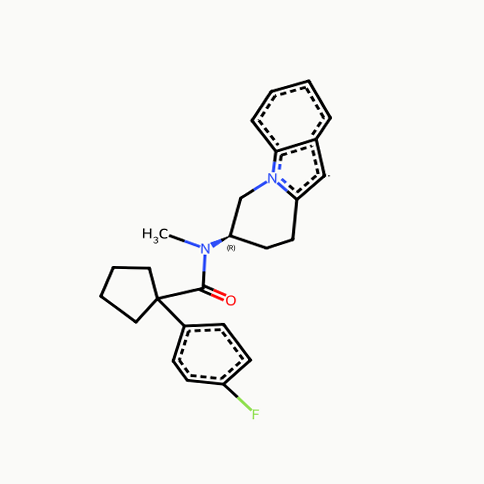 CN(C(=O)C1(c2ccc(F)cc2)CCCC1)[C@@H]1CCc2[c]c3ccccc3n2C1